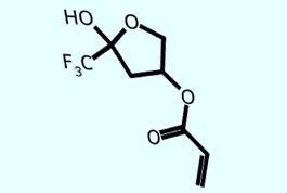 C=CC(=O)OC1COC(O)(C(F)(F)F)C1